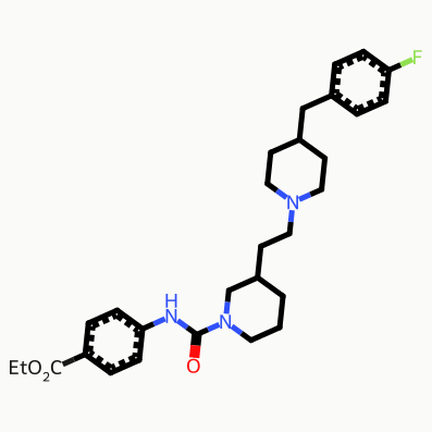 CCOC(=O)c1ccc(NC(=O)N2CCCC(CCN3CCC(Cc4ccc(F)cc4)CC3)C2)cc1